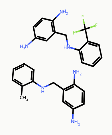 Cc1ccccc1NCc1cc(N)ccc1N.Nc1ccc(N)c(CNc2ccccc2C(F)(F)F)c1